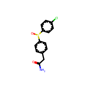 NC(=O)Cc1ccc([S+]([O-])c2ccc(Cl)cc2)cc1